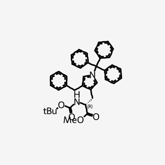 COC(=O)[C@@H](Cc1cn(C(c2ccccc2)(c2ccccc2)c2ccccc2)cc1Cc1ccccc1)NC(=O)OC(C)(C)C